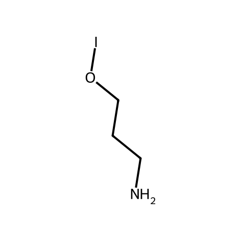 NCCCOI